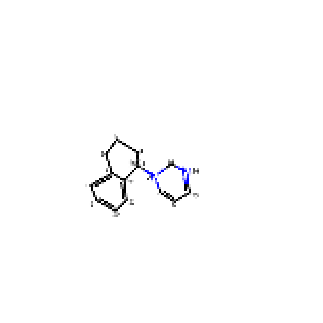 C1=CN([C@@H]2CCCc3ccccc32)CN=C1